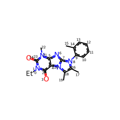 CCn1c(=O)c2c(nc3n(-c4ccccc4C)c(C)c(C)n23)n(C)c1=O